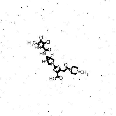 Cc1[nH]c(C(=O)N[C@@H]2[C@@H]3CN(c4nc(CC(=O)N5CCN(C)CC5)c(C(=O)O)s4)C[C@@H]32)c(Cl)c1Cl